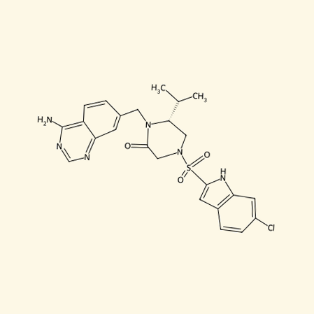 CC(C)[C@@H]1CN(S(=O)(=O)c2cc3ccc(Cl)cc3[nH]2)CC(=O)N1Cc1ccc2c(N)ncnc2c1